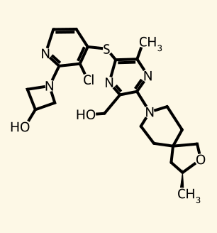 Cc1nc(N2CCC3(CC2)CO[C@@H](C)C3)c(CO)nc1Sc1ccnc(N2CC(O)C2)c1Cl